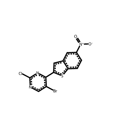 O=[N+]([O-])c1ccc2sc(-c3nc(Cl)ncc3Br)cc2c1